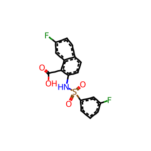 O=C(O)c1c(NS(=O)(=O)c2cccc(F)c2)ccc2ccc(F)cc12